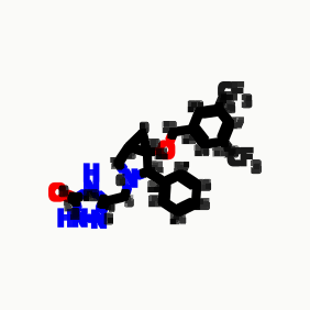 O=c1[nH]nc(CN2CC3CC3(OCc3cc(C(F)(F)F)cc(C(F)(F)F)c3)C2c2ccccc2)[nH]1